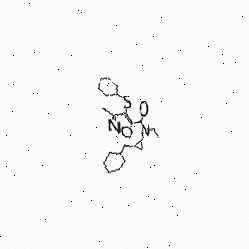 CCN(C(=O)c1onc(C)c1SC1CCCCC1)C1C[C@H]1CC1CCCCC1